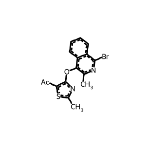 CC(=O)c1sc(C)nc1Oc1c(C)nc(Br)c2ccccc12